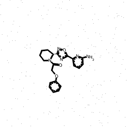 Nc1cccc(-c2nc([C@H]3CCCCN3C(=O)COc3ccccc3)no2)n1